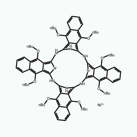 CCCCOc1c2ccccc2c(OCCCC)c2c3[n-]c(c12)Nc1[nH]c(c2c(OCCCC)c4ccccc4c(OCCCC)c12)Nc1[n-]c(c2c(OCCCC)c4ccccc4c(OCCCC)c12)Nc1[nH]c(c2c(OCCCC)c4ccccc4c(OCCCC)c12)N3.[Ni+2]